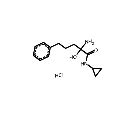 Cl.NC(O)(CCCc1ccccc1)C(=O)NC1CC1